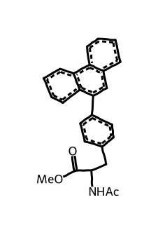 COC(=O)C(Cc1ccc(-c2cc3ccccc3c3ccccc23)cc1)NC(C)=O